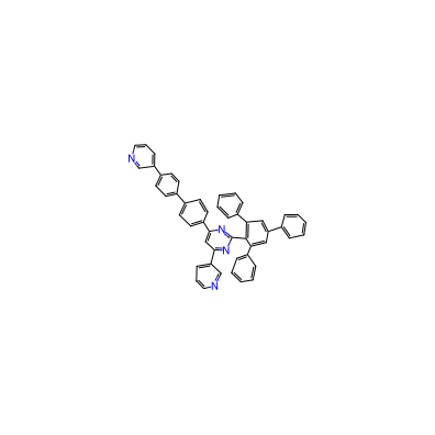 c1ccc(-c2cc(-c3ccccc3)c(-c3nc(-c4ccc(-c5ccc(-c6cccnc6)cc5)cc4)cc(-c4cccnc4)n3)c(-c3ccccc3)c2)cc1